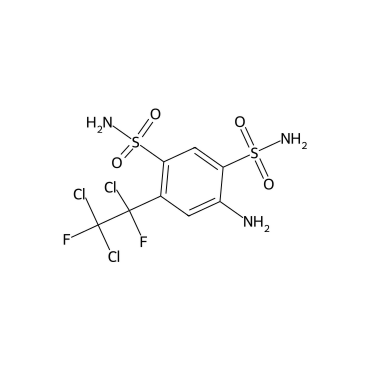 Nc1cc(C(F)(Cl)C(F)(Cl)Cl)c(S(N)(=O)=O)cc1S(N)(=O)=O